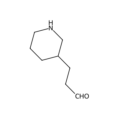 O=CCCC1CCCNC1